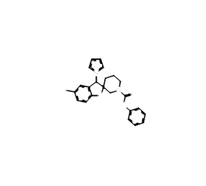 O=C(Oc1ccccc1)N1CCCC2(C1)Oc1ccc(Cl)cc1C2n1cccc1